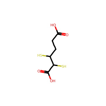 O=C(O)CCC(S)C(S)C(=O)O